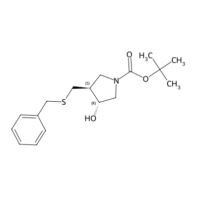 CC(C)(C)OC(=O)N1C[C@H](CSCc2ccccc2)[C@@H](O)C1